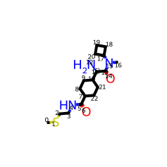 CSCCNC(=O)C1CCC([C@H](N)C(=O)N(C)C2CCC2)CC1